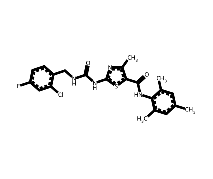 Cc1cc(C)c(NC(=O)c2sc(NC(=O)NCc3ccc(F)cc3Cl)nc2C)c(C)c1